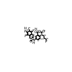 Cc1c(F)c(F)c(CS(=O)(=O)Nc2ccc3c(c2)C(C)OC(=O)N3CCCF)c(F)c1F